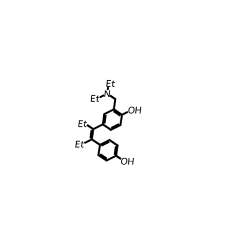 CCC(=C(CC)c1ccc(O)c(CN(CC)CC)c1)c1ccc(O)cc1